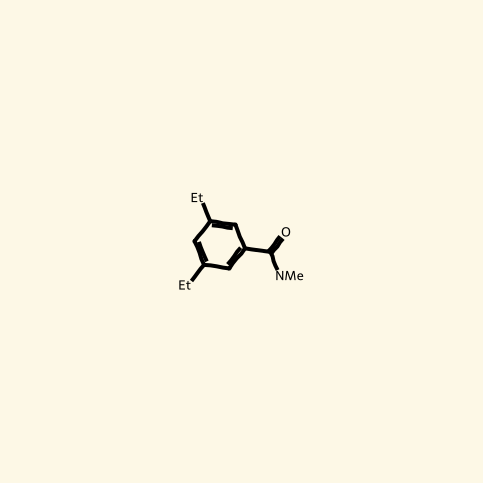 CCc1cc(CC)cc(C(=O)NC)c1